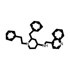 c1ccc(CCN2CCC(NCc3ccnc4ccccc34)CC2Cc2ccccc2)cc1